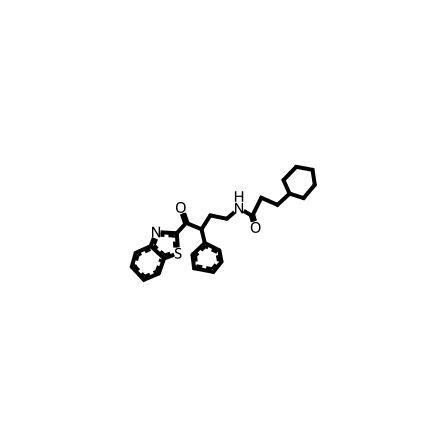 O=C(CCC1CCCCC1)NCCC(C(=O)c1nc2ccccc2s1)c1ccccc1